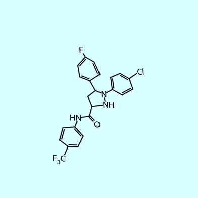 O=C(Nc1ccc(C(F)(F)F)cc1)C1CC(c2ccc(F)cc2)N(c2ccc(Cl)cc2)N1